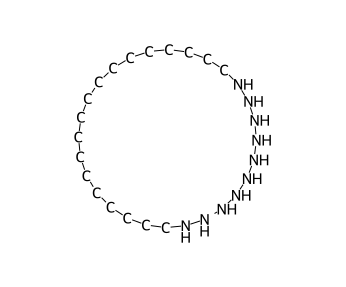 C1CCCCCCCCCNNNNNNNNNNCCCCCCCC1